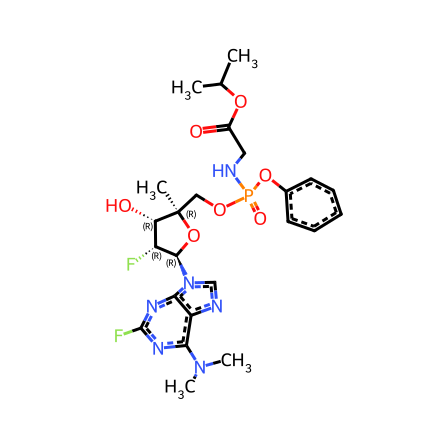 CC(C)OC(=O)CNP(=O)(OC[C@@]1(C)O[C@@H](n2cnc3c(N(C)C)nc(F)nc32)[C@H](F)[C@@H]1O)Oc1ccccc1